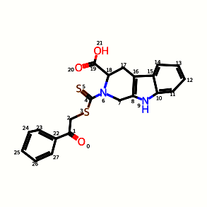 O=C(CSC(=S)N1Cc2[nH]c3ccccc3c2CC1C(=O)O)c1ccccc1